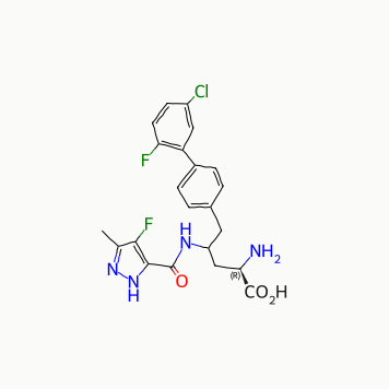 Cc1n[nH]c(C(=O)NC(Cc2ccc(-c3cc(Cl)ccc3F)cc2)C[C@@H](N)C(=O)O)c1F